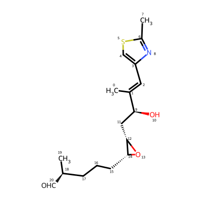 C/C(=C\c1csc(C)n1)[C@@H](O)C[C@@H]1O[C@@H]1CCC[C@H](C)C=O